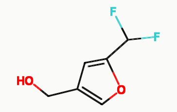 OCc1coc(C(F)F)c1